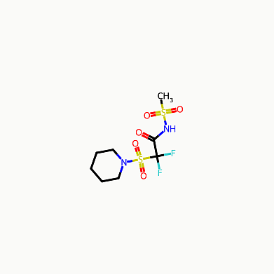 CS(=O)(=O)NC(=O)C(F)(F)S(=O)(=O)N1CCCCC1